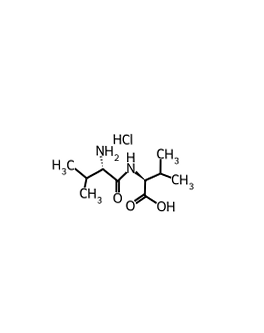 CC(C)[C@H](N)C(=O)N[C@H](C(=O)O)C(C)C.Cl